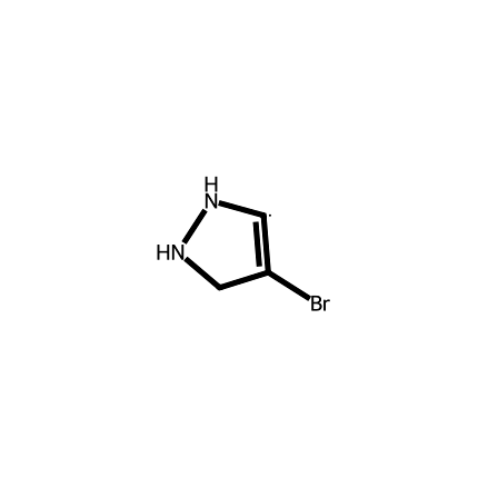 BrC1=[C]NNC1